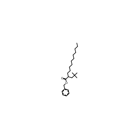 CCCCCCCCCCCC(CC(C)(C)C)C(=O)OCc1ccccc1